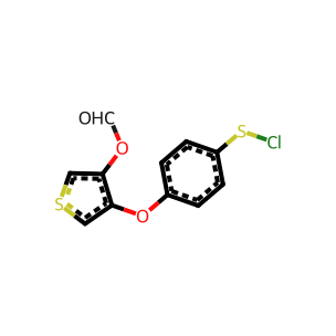 O=COc1cscc1Oc1ccc(SCl)cc1